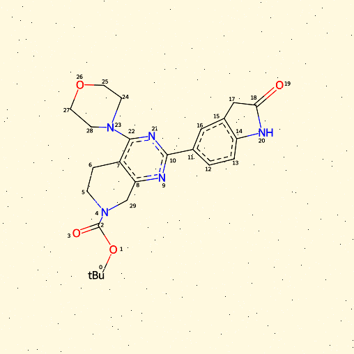 CC(C)(C)OC(=O)N1CCc2c(nc(-c3ccc4c(c3)CC(=O)N4)nc2N2CCOCC2)C1